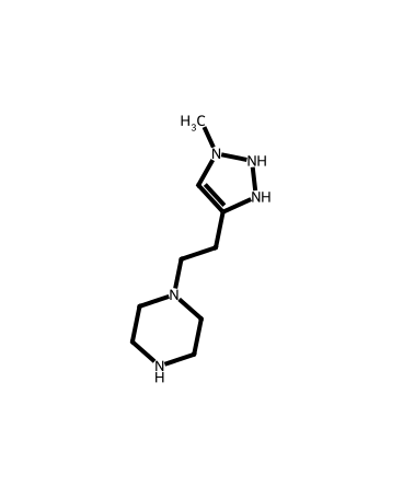 CN1C=C(CCN2CCNCC2)NN1